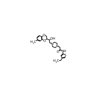 CCc1csc(NC(=O)CN2CCN(CC(O)C3COc4ccc(C)cc4O3)CC2)c1